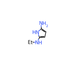 CCNc1ccc(N)[nH]1